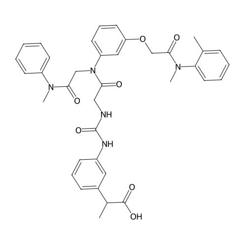 Cc1ccccc1N(C)C(=O)COc1cccc(N(CC(=O)N(C)c2ccccc2)C(=O)CNC(=O)Nc2cccc(C(C)C(=O)O)c2)c1